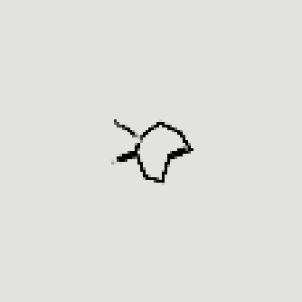 CC(C)N1CC/C=C/CCC1=O